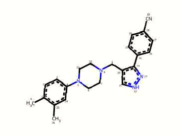 Cc1ccc(N2CCN(Cc3c[nH]nc3-c3ccc(C#N)cc3)CC2)cc1C